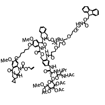 C=CCOC(=O)N1C[C@@H]2CC3(CC3)CN2C(=O)c2cc(OC)c(OCCCCCOc3cc(NC(=O)OCc4ccc(NC(=O)[C@H](CO[C@@H]5O[C@H](C(=O)OC)[C@@H](OC(C)=O)[C@H](OC(C)=O)[C@H]5OC(C)=O)NC(=O)[C@@H](NC(C)=O)C(C)C)cc4NC(=O)CCOCCOCCOCCOCCNC(=O)OCC4c5ccccc5-c5ccccc54)c(C(=O)N4Cc5ccccc5C[C@H]4CO[Si](C)(C)C(C)(C)C)cc3OC)cc21